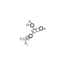 CC(C)(C)Oc1ccc(OC[C@@H]2Cc3cc(F)ccc3CN2C(=O)c2ccc(Cl)c(Cl)c2)cc1